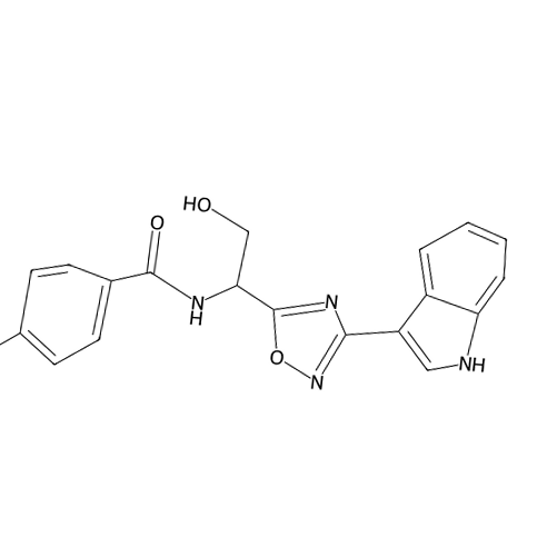 O=C(NC(CO)c1nc(-c2c[nH]c3ccccc23)no1)c1ccc(F)cc1